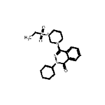 CCS(=O)(=O)[C@H]1CCCN(c2nn(C3CCCCC3)c(=O)c3ccccc23)C1